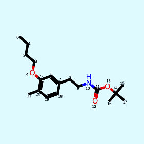 CCCCOc1cc(CCNC(=O)OC(C)(C)C)ccc1C